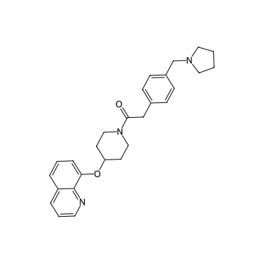 O=C(Cc1ccc(CN2CCCC2)cc1)N1CCC(Oc2cccc3cccnc23)CC1